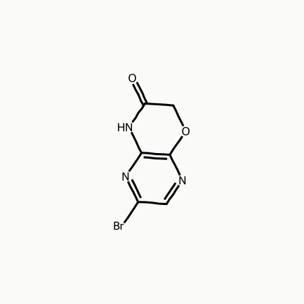 O=C1COc2ncc(Br)nc2N1